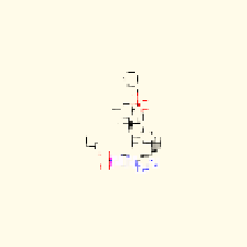 C[C@@H]1[C@H]2C3=CC[C@H]4[C@]5(C)Cc6c(N7CCN(C(=O)OCc8ccccc8)CC7)ncnc6C(C)(C)[C@H]5CC[C@]4(C)[C@]3(C)CC[C@@]2(C(=O)OCc2ccccc2)CC[C@@H]1C